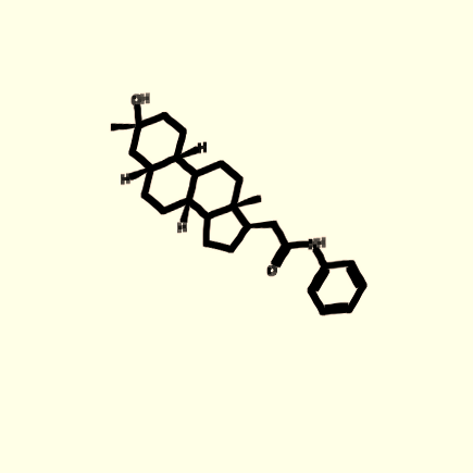 C[C@@]1(O)CC[C@@H]2C3CC[C@@]4(C)C(CC[C@@H]4CC(=O)Nc4ccccc4)[C@@H]3CC[C@@H]2C1